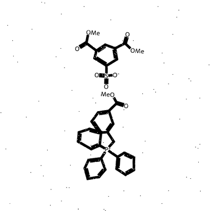 COC(=O)c1cc(C(=O)OC)cc(S(=O)(=O)[O-])c1.COC(=O)c1cccc(C[P+](c2ccccc2)(c2ccccc2)c2ccccc2)c1